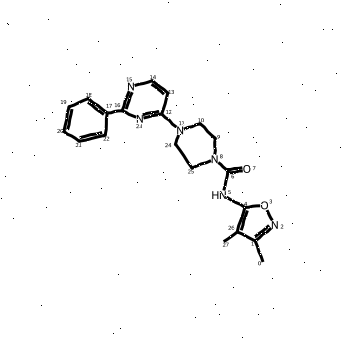 Cc1noc(NC(=O)N2CCN(c3ccnc(-c4ccccc4)n3)CC2)c1C